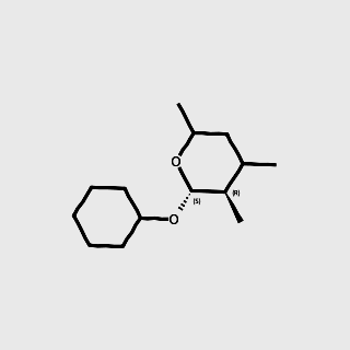 CC1CC(C)[C@@H](C)[C@H](OC2CCCCC2)O1